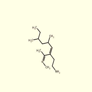 CCC(C)CC(C)/C=C(CCN)\C(C)=N/C